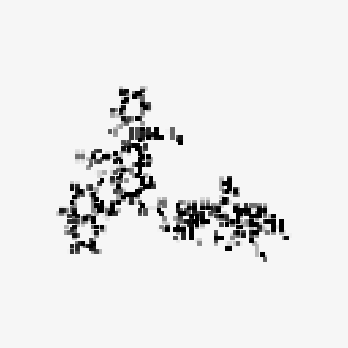 CNC(=O)[C@@H](Cc1ccccc1)N(C)C(=O)[C@@H](Cc1ccc2ccccc2c1)N(C)C(=O)C=CCC(C)(C)NC[C@@H](C)O[Si](C)(C)C(C)(C)C